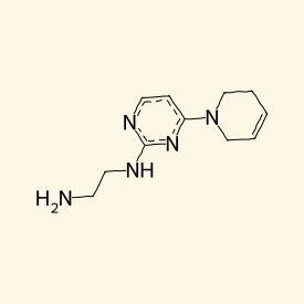 NCCNc1nccc(N2CC=CCC2)n1